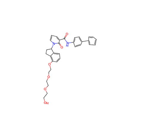 O=C(Nc1ccc(-c2ccccc2)cc1)c1cccn(C2CCc3c(OCCOCCOCCO)cccc32)c1=O